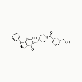 O=C(c1cccc(CO)c1)N1CCC(O)(Cn2cnc3c(cnn3-c3ccccc3)c2=O)CC1